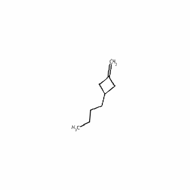 C=C1CC(CCCC)C1